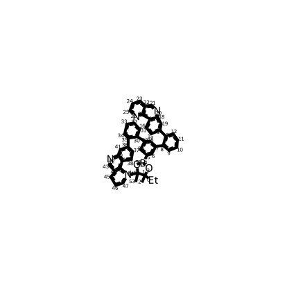 CCC1(C)OB(c2cc(-c3ccccc3-c3ccc4c(c3)ncc3cccnc34)cc(-c3ccccc3-c3ccc4c(c3)ncc3cccnc34)c2)OC1(C)C